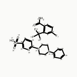 NC(=O)c1ccc(F)cc1C(F)(F)F.O=S(=O)(O)c1ccc(N2CCN(c3ccccc3)CC2)nc1